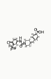 O=C(O)c1ccc(C=C2CCN(C(=O)Nc3ccc(Cl)c(C(F)(F)F)c3)CC2)cc1